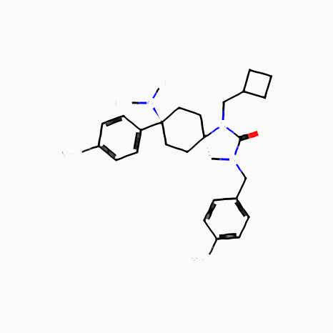 COc1ccc(CN2C[C@]3(CC[C@](c4ccc(OC)cc4)(N(C)C)CC3)N(CC3CCC3)C2=O)cc1